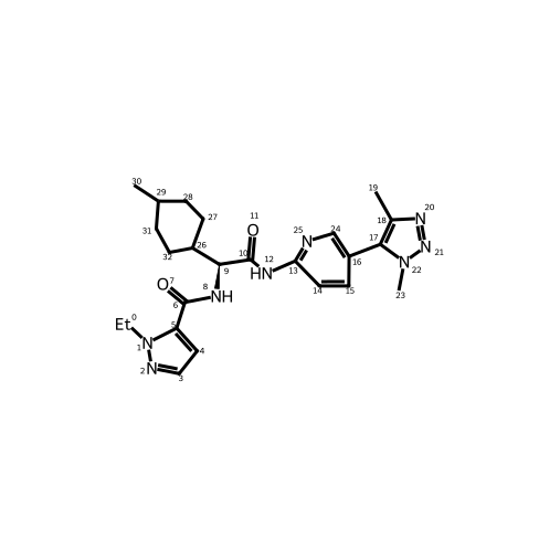 CCn1nccc1C(=O)N[C@H](C(=O)Nc1ccc(-c2c(C)nnn2C)cn1)C1CCC(C)CC1